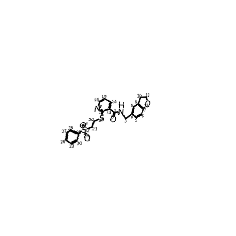 O=C(NCc1ccc2c(c1)CCO2)c1cccnc1SCCS(=O)(=O)c1ccccc1